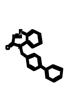 CCCCC(=O)N(Cc1ccc(-c2ccccc2)cc1)c1ccccc1F